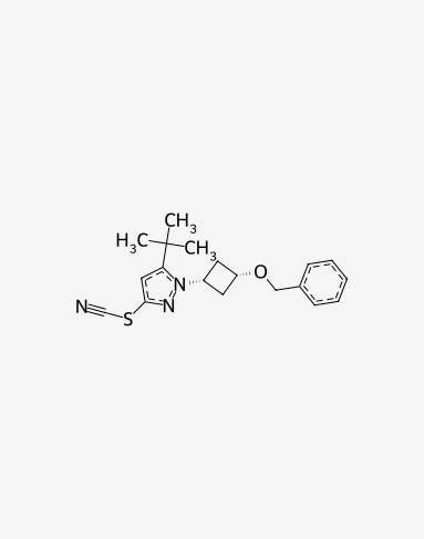 CC(C)(C)c1cc(SC#N)nn1[C@H]1C[C@@H](OCc2ccccc2)C1